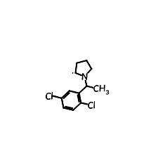 CC(c1cc(Cl)ccc1Cl)N1[CH]CCC1